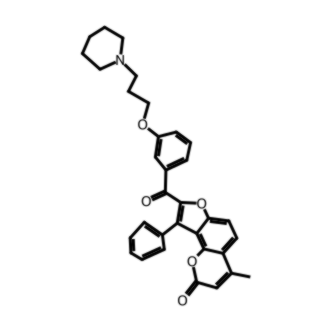 Cc1cc(=O)oc2c1ccc1oc(C(=O)c3cccc(OCCCN4CCCCC4)c3)c(-c3ccccc3)c12